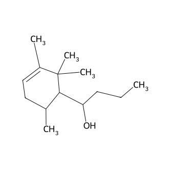 CCCC(O)C1C(C)CC=C(C)C1(C)C